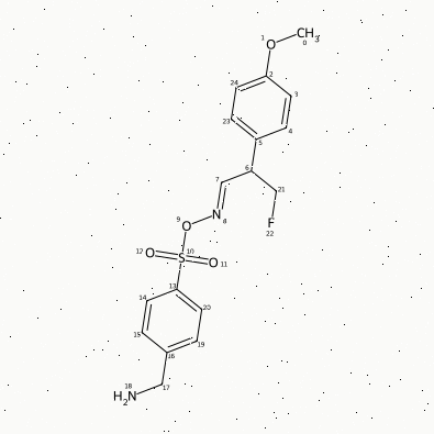 COc1ccc(C(C=NOS(=O)(=O)c2ccc(CN)cc2)CF)cc1